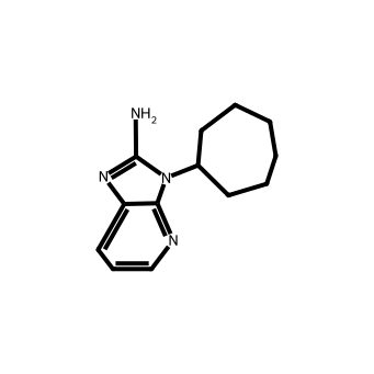 Nc1nc2cccnc2n1C1CCCCCC1